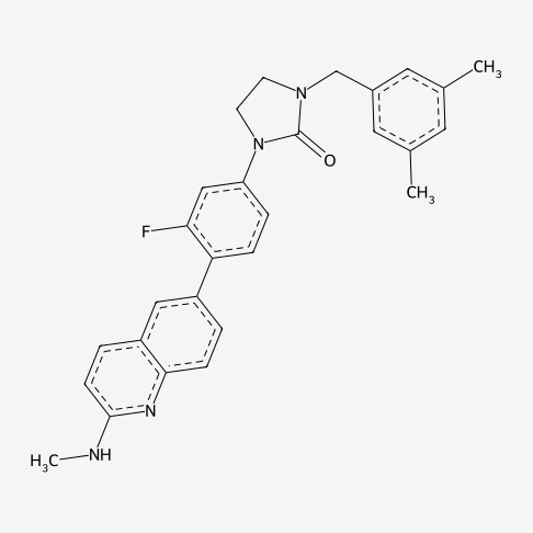 CNc1ccc2cc(-c3ccc(N4CCN(Cc5cc(C)cc(C)c5)C4=O)cc3F)ccc2n1